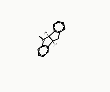 CN1c2ccccc2[C@@H]2Cc3ccccc3[C@@H]21